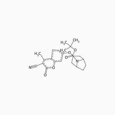 Cc1c(C#N)c(=O)oc2cc(OC3CC4CCC(C3)N4C(=O)OC(C)(C)C)ccc12